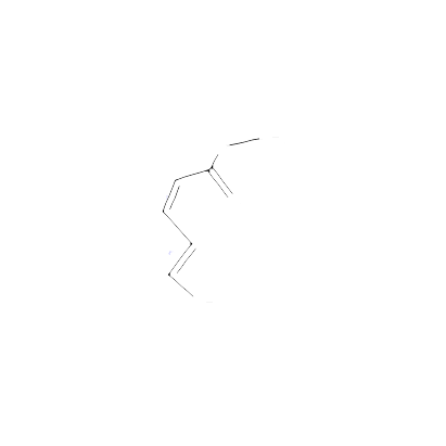 C/C=C/C=C\C(=O)OC